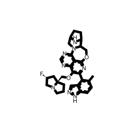 Cc1ccc2[nH]ncc2c1-c1nc2c3c(ncnc3c1OC[C@@]13CCCN1C[C@H](F)C3)N1CC3CCC(N3)C1CO2